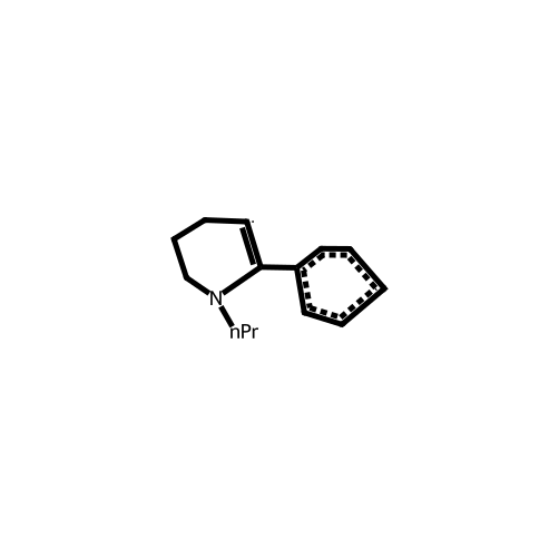 CCCN1CCC[C]=C1c1ccccc1